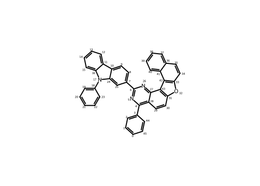 c1ccc(-c2nc(-c3ccc4c5ccccc5n(-c5ccccc5)c4c3)nc3c2ccc2oc4ccc5ccccc5c4c23)cc1